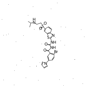 CC(C)NCCS(=O)(=O)c1ccc2nc(NC(=O)NC(=O)c3cc(-n4cccc4)ccc3Br)sc2c1